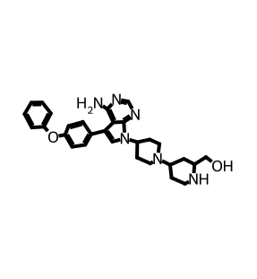 Nc1ncnc2c1c(-c1ccc(Oc3ccccc3)cc1)cn2C1CCN(C2CCNC(CO)C2)CC1